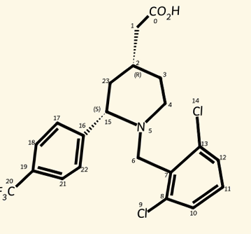 O=C(O)C[C@@H]1CCN(Cc2c(Cl)cccc2Cl)[C@H](c2ccc(C(F)(F)F)cc2)C1